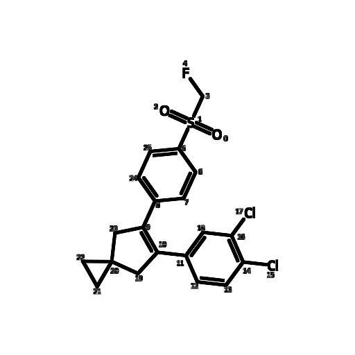 O=S(=O)(CF)c1ccc(C2=C(c3ccc(Cl)c(Cl)c3)CC3(CC3)C2)cc1